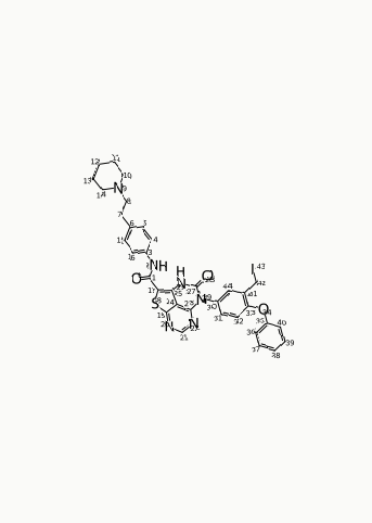 O=C(Nc1ccc(CCN2CCCCC2)cc1)c1sc2ncnc3c2c1NC(=O)N3c1ccc(Oc2ccccc2)c(CI)c1